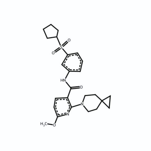 COc1ccc(C(=O)Nc2cccc(S(=O)(=O)C3CCCC3)c2)c(N2CCC3(CC2)CC3)n1